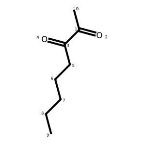 [CH2]C(=O)C(=O)CCCCC